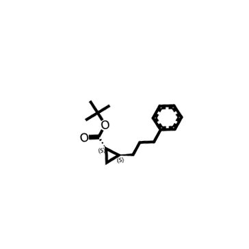 CC(C)(C)OC(=O)[C@H]1C[C@@H]1CCCc1ccccc1